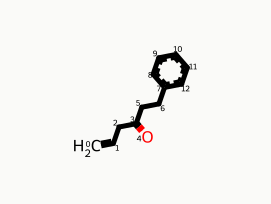 C=CCC(=O)CCc1ccccc1